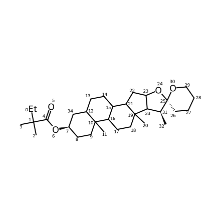 CCC(C)(C)C(=O)O[C@@H]1CCC2(C)C(CCC3C2CCC2(C)C3CC3O[C@]4(CCCCO4)[C@@H](C)C32)C1